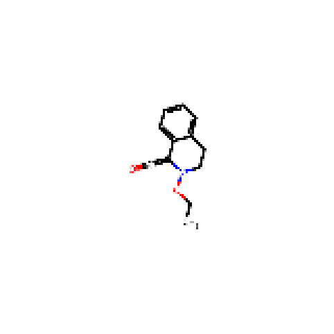 CCON1CCc2ccccc2C1=C=O